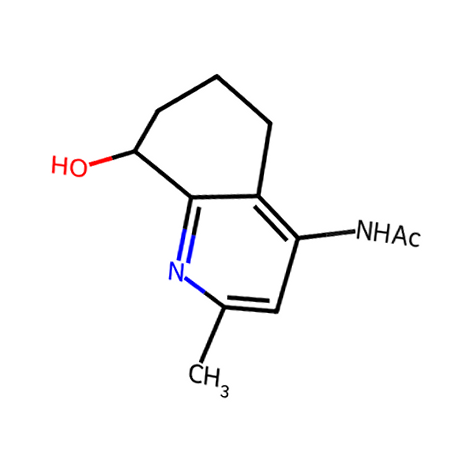 CC(=O)Nc1cc(C)nc2c1CCCC2O